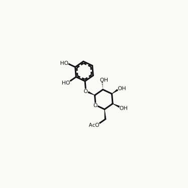 CC(=O)OC[C@H]1O[C@@H](Oc2cccc(O)c2O)[C@H](O)[C@@H](O)[C@H]1O